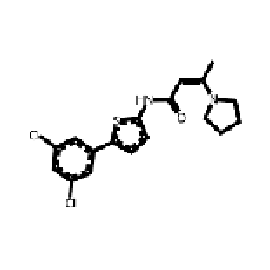 CC(=CC(=O)Nc1ccc(-c2cc(Cl)cc(Cl)c2)s1)N1CCCC1